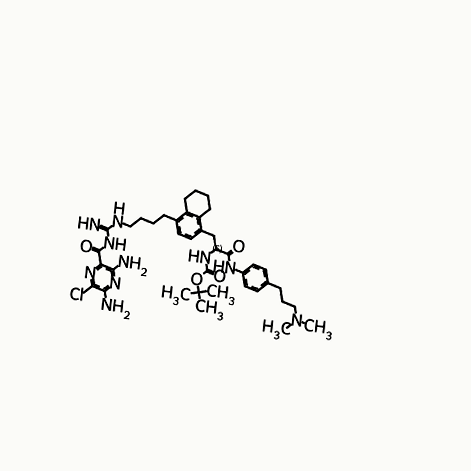 CN(C)CCCc1ccc(NC(=O)[C@H](Cc2ccc(CCCCNC(=N)NC(=O)c3nc(Cl)c(N)nc3N)c3c2CCCC3)NC(=O)OC(C)(C)C)cc1